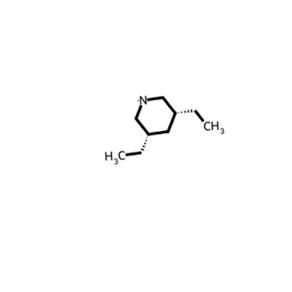 CC[C@@H]1C[N]C[C@H](CC)C1